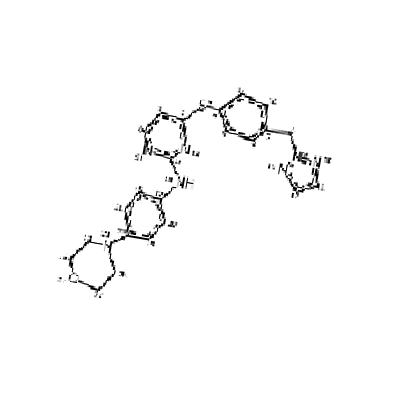 c1cc(Sc2ccc(Cn3nccn3)cc2)nc(Nc2ccc(N3CCOCC3)cc2)n1